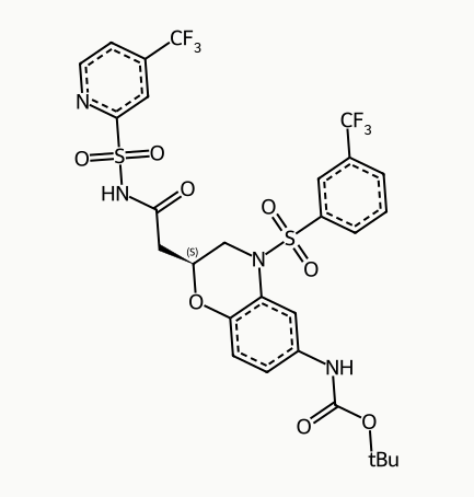 CC(C)(C)OC(=O)Nc1ccc2c(c1)N(S(=O)(=O)c1cccc(C(F)(F)F)c1)C[C@H](CC(=O)NS(=O)(=O)c1cc(C(F)(F)F)ccn1)O2